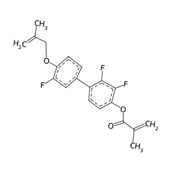 C=C(C)COc1ccc(-c2ccc(OC(=O)C(=C)C)c(F)c2F)cc1F